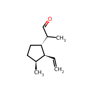 C=C[C@@H]1[C@@H](C(C)C=O)CC[C@@H]1C